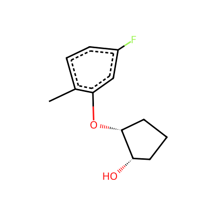 Cc1ccc(F)cc1O[C@@H]1CCC[C@@H]1O